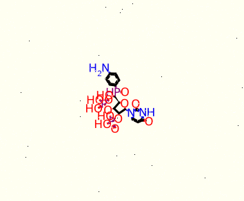 Nc1ccc([PH](=O)C(O)[C@H]2O[C@@H](n3ccc(=O)[nH]c3=O)[C@H](OP(=O)(O)O)[C@@H]2OP(=O)(O)O)cc1